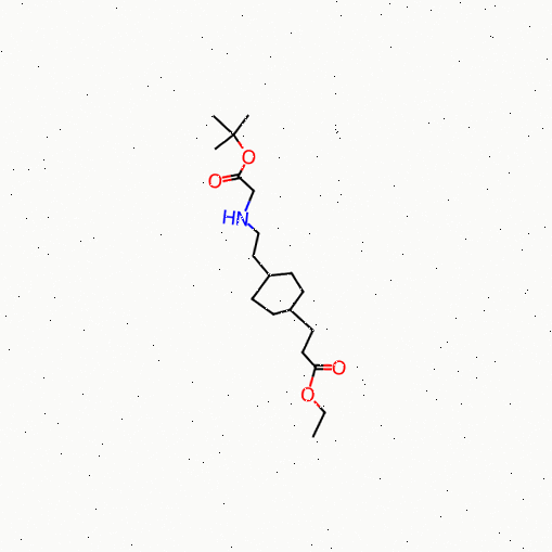 CCOC(=O)CCC1CCC(CCNCC(=O)OC(C)(C)C)CC1